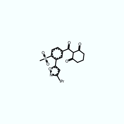 CC(C)c1cc(-c2cc(C(=O)C3C(=O)CCCC3=O)ccc2S(C)(=O)=O)on1